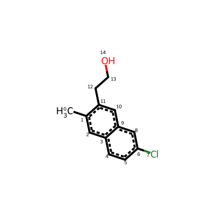 Cc1cc2ccc(Cl)cc2cc1CCO